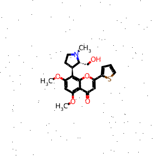 COc1cc(OC)c2c(=O)cc(-c3cccs3)oc2c1[C@H]1CCN(C)[C@@H]1CO